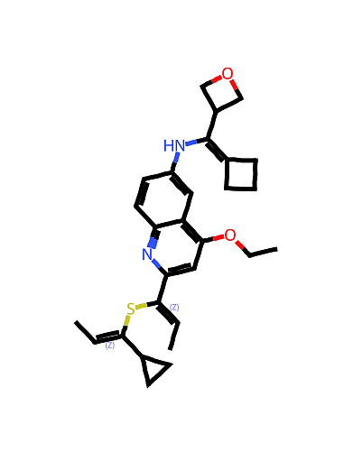 C/C=C(\S/C(=C\C)C1CC1)c1cc(OCC)c2cc(NC(=C3CCC3)C3COC3)ccc2n1